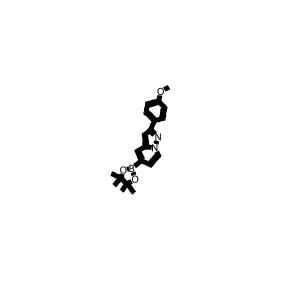 COc1ccc(-c2cc3cc(B4OC(C)(C)C(C)(C)O4)ccn3n2)cc1